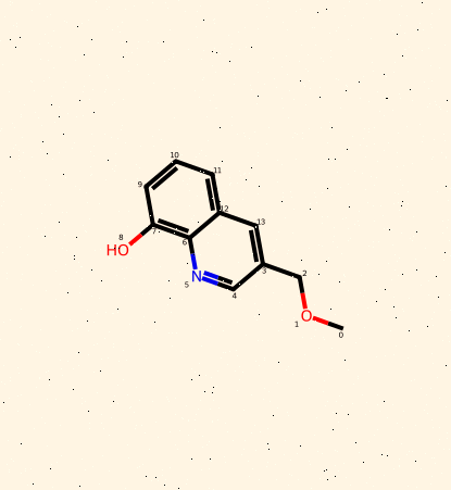 COCc1cnc2c(O)cccc2c1